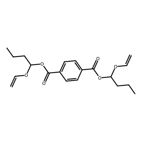 C=COC(CCC)OC(=O)c1ccc(C(=O)OC(CCC)OC=C)cc1